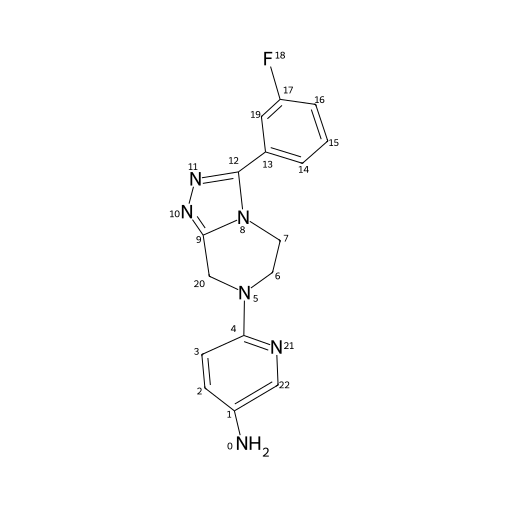 Nc1ccc(N2CCn3c(nnc3-c3cccc(F)c3)C2)nc1